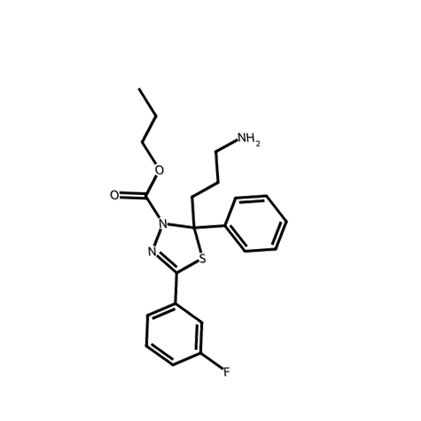 CCCOC(=O)N1N=C(c2cccc(F)c2)SC1(CCCN)c1ccccc1